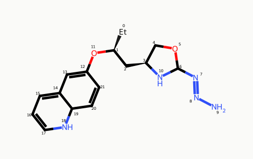 CC[C@@H](C[C@H]1COC(N=NN)N1)OC1=CC2=CC=CNC2C=C1